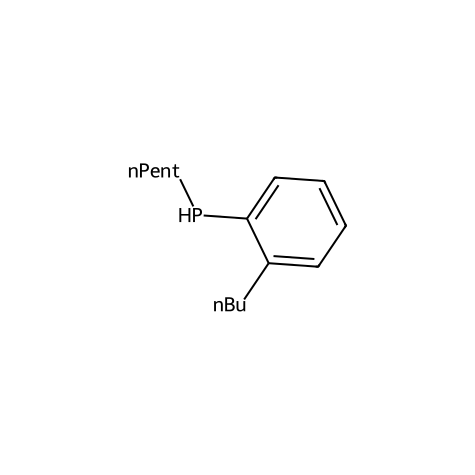 CCCCCPc1ccccc1CCCC